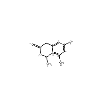 CC1OC(=O)Cc2cc(O)cc(O)c21